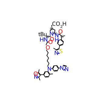 Cc1ccc(-c2c(C)noc2C)cc1N(CCCCCCCOCC(=O)N[C@H](C(=O)N1C[C@@H](CC(=O)O)C[C@H]1NC(=O)[C@@H](C)c1ccc(-c2scnc2C)cc1)C(C)(C)C)c1ccc(-n2ccnc2)cc1